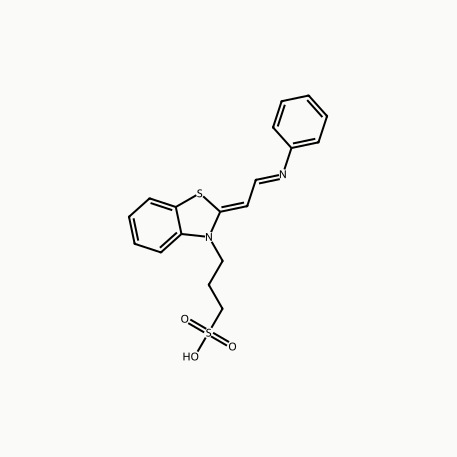 O=S(=O)(O)CCCN1/C(=C/C=N/c2ccccc2)Sc2ccccc21